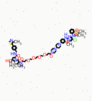 COc1cc(N2CCC(N3CCN(C(=O)CCOCCOCCOCCOCCC(=O)N[C@H](C(=O)N4C[C@H](O)C[C@H]4C(=O)NCc4ccc(-c5scnc5C)cc4)C(C)(C)C)CC3)CC2)ccc1Nc1ncc(Cl)c(Nc2ccccc2S(=O)(=O)C(C)C)n1